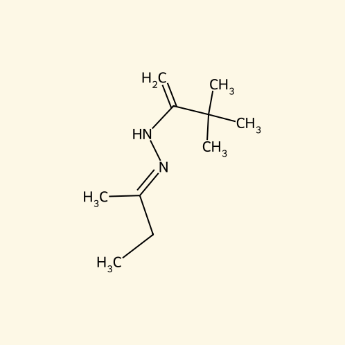 C=C(N/N=C(\C)CC)C(C)(C)C